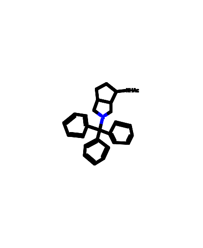 CC(=O)NC1CCC2CN(C(c3ccccc3)(c3ccccc3)c3ccccc3)CC21